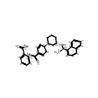 C[C@@H](N[C@H]1CCC[C@H](C2C=CC(C(=O)Nc3ccccc3C(=O)O)=CC2)C1)c1cccc2ccccc12